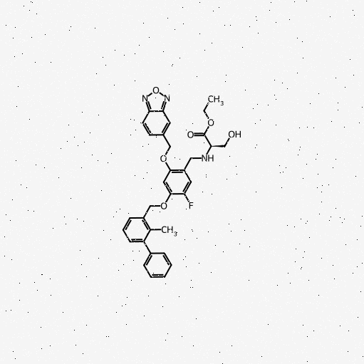 CCOC(=O)[C@@H](CO)NCc1cc(F)c(OCc2cccc(-c3ccccc3)c2C)cc1OCc1ccc2nonc2c1